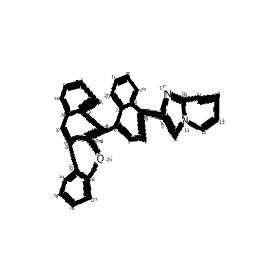 c1ccc2c(-c3ccc(-c4cn5ccccc5n4)c4ccccc34)c3oc4ccccc4c3cc2c1